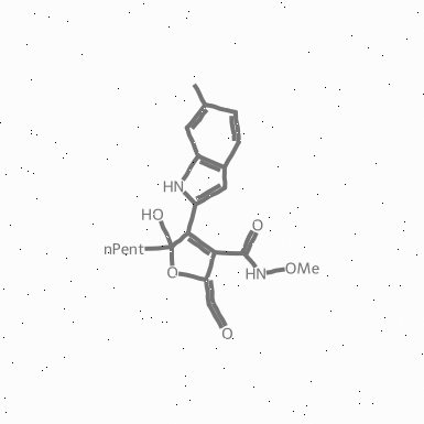 CCCCCC1(O)OC(=C=O)C(C(=O)NOC)=C1c1cc2ccc(C)cc2[nH]1